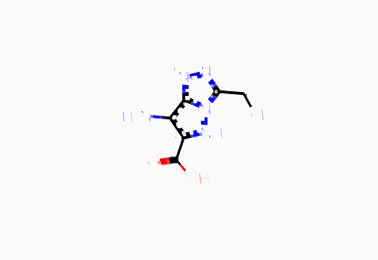 CCc1nnc2c(N)c(C(=O)O)[nH]n12